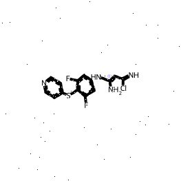 N=C(Cl)/C=C(\N)Nc1cc(F)c(Sc2ccncc2)c(F)c1